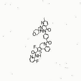 Cc1ccc(C(=O)Nc2ccc(C(=O)N3CCc4c(sc(C(=O)Nc5ncccc5F)c4F)-c4ccccc43)cc2)c(N2CC3(CCOCC3)C2)n1